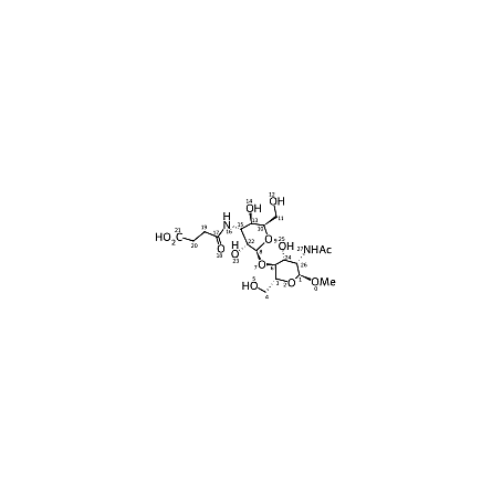 CO[C@H]1O[C@H](CO)[C@@H](O[C@@H]2O[C@H](CO)[C@H](O)[C@@H](NC(=O)CCC(=O)O)[C@H]2O)[C@H](O)[C@@H]1NC(C)=O